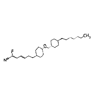 CCCCCCC[C@H]1CC[C@H](CO[C@H]2CC[C@H](CC/C=C/C=C(\F)C#N)CC2)CC1